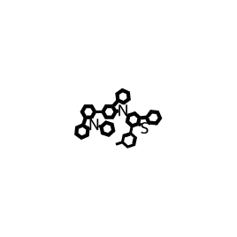 CC1C=C(c2cc(-n3c4ccccc4c4cc(-c5cccc6c7ccccc7n(-c7ccccc7)c56)ccc43)cc3c2sc2ccccc23)C=CC1